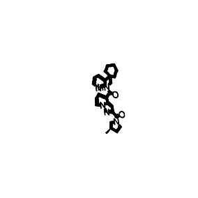 C[C@@H]1CCN(C(=O)c2cc3c(C(=O)NCC4(c5cccnc5)CCCCC4)cccn3n2)C1